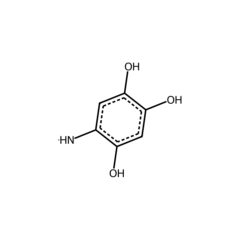 [NH]c1cc(O)c(O)cc1O